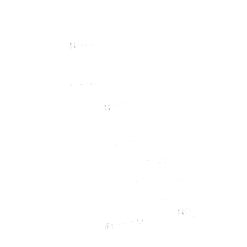 Cc1cc([N+](=O)[O-])c(OC(C)C)cc1C1=CCN(C2CCN(C)CC2)CC1